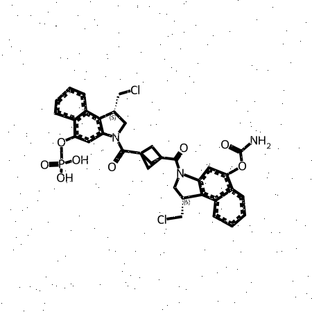 NC(=O)Oc1cc2c(c3ccccc13)[C@H](CCl)CN2C(=O)C12CC(C(=O)N3C[C@@H](CCl)c4c3cc(OP(=O)(O)O)c3ccccc43)(C1)C2